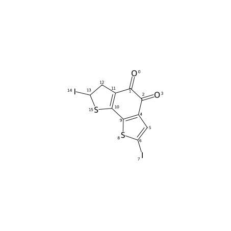 O=C1C(=O)c2cc(I)sc2C2=C1CC(I)S2